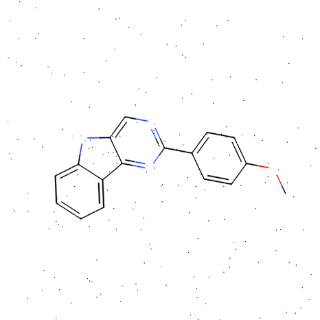 COc1ccc(-c2ncc3[nH]c4ccccc4c3n2)cc1